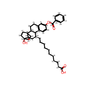 C[C@]12C[C@H](CCCCCCCCCCC(=O)O)C3c4ccc(OC(=O)c5ccccc5)cc4CCC3C13CCC2(O)CC3